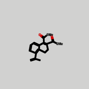 C=C(C)c1cccc2c1CCC(C(=O)OC)=C2C(=O)OC